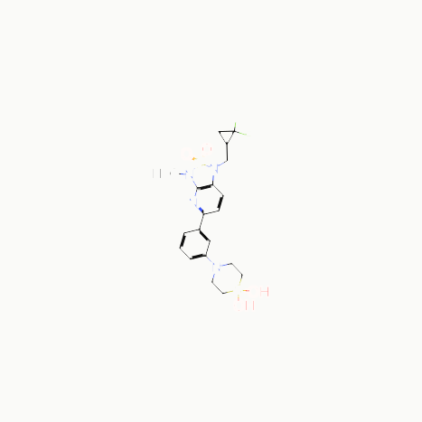 CN1c2nc(-c3cccc(N4CCS(O)(O)CC4)c3)ccc2N(CC2CC2(F)F)S1(=O)=O